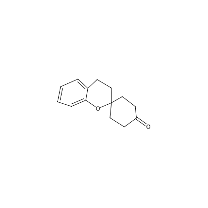 O=C1CCC2(CC1)CCc1ccccc1O2